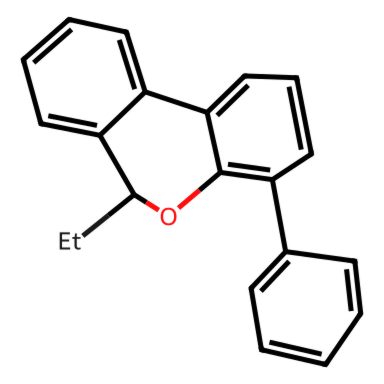 CCC1Oc2c(-c3ccccc3)cccc2-c2ccccc21